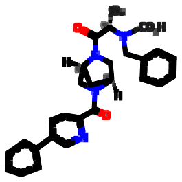 CC(C)(C)[C@@H](C(=O)N1C[C@@H]2C[C@H]1CN2C(=O)c1ccc(-c2ccccc2)cn1)N(Cc1ccccc1)C(=O)O